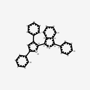 c1ccc(-c2cc(-c3ccccc3)c(-c3sc(-c4ccccc4)c4ccccc34)o2)cc1